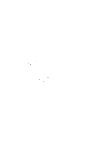 Cn1nnc2cc(CNC(=O)c3cc(C(F)(F)F)nn3-c3ccccc3Cl)ccc21